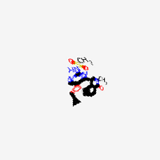 Cn1cc(-c2nc(NS(C)(=O)=O)ncc2OCC2CC2)c2ccccc2c1=O